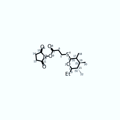 CCC1O[C@@H](SCCC(=O)ON2C(=O)CCC2=O)C(C)[C@@H](C)[C@@H]1C